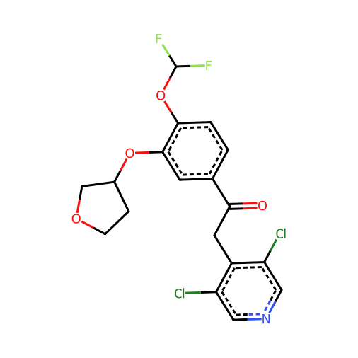 O=C(Cc1c(Cl)cncc1Cl)c1ccc(OC(F)F)c(OC2CCOC2)c1